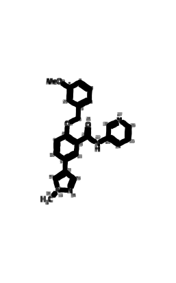 COc1cccc(COc2ccc(-c3cnn(C)c3)cc2C(=O)Nc2cccnc2)c1